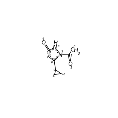 CC(=O)n1[nH]c(=O)cc1C1CC1